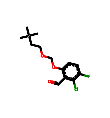 C[Si](C)(C)CCOCOc1ccc(F)c(Cl)c1C=O